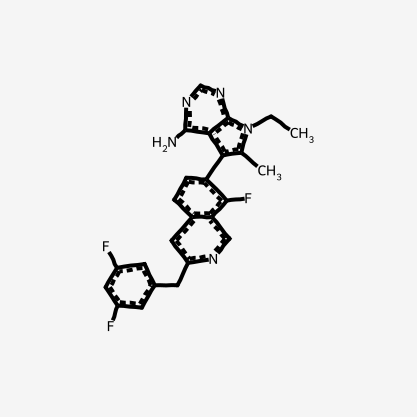 CCn1c(C)c(-c2ccc3cc(Cc4cc(F)cc(F)c4)ncc3c2F)c2c(N)ncnc21